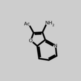 CC(=O)c1oc2cccnc2c1N